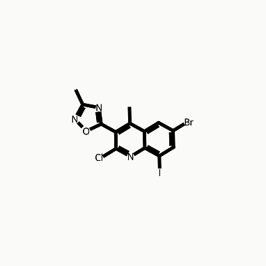 Cc1noc(-c2c(Cl)nc3c(I)cc(Br)cc3c2C)n1